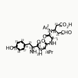 CC(=O)N(C(=O)[C@H](C)NC(=O)[C@@H](NC(=O)[C@@H](N)Cc1ccc(O)cc1)C(C)C)[C@H](CC=O)CC(=O)O